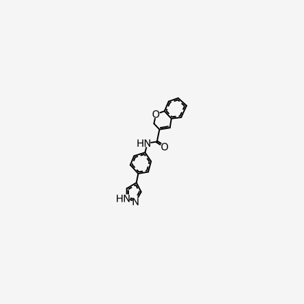 O=C(Nc1ccc(-c2cn[nH]c2)cc1)C1=Cc2ccccc2OC1